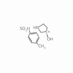 Cc1ccc(S(=O)(=O)O)cc1.O[C@@H]1CCNC1